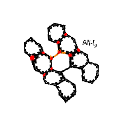 [AlH3].c1ccc(P(c2ccccc2)c2ccc3ccccc3c2-c2c(P(c3ccccc3)c3ccccc3)ccc3ccccc23)cc1